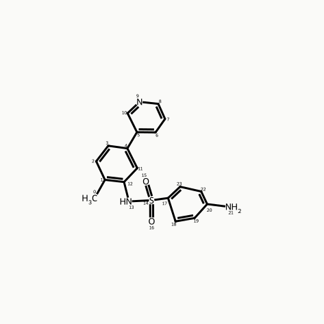 Cc1ccc(-c2cccnc2)cc1NS(=O)(=O)c1ccc(N)cc1